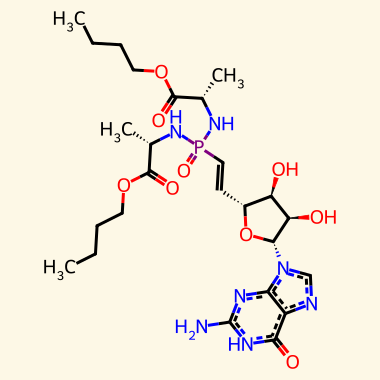 CCCCOC(=O)[C@H](C)NP(=O)(/C=C/[C@H]1O[C@@H](n2cnc3c(=O)[nH]c(N)nc32)[C@H](O)[C@@H]1O)N[C@@H](C)C(=O)OCCCC